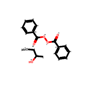 COCC(C)O.O=C(OOC(=O)c1ccccc1)c1ccccc1